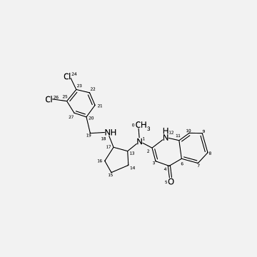 CN(c1cc(=O)c2ccccc2[nH]1)C1CCCC1NCc1ccc(Cl)c(Cl)c1